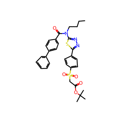 CCCCN(C(=O)c1ccc(-c2ccccc2)cc1)c1nnc(-c2ccc(S(=O)(=O)CC(=O)OC(C)(C)C)cc2)s1